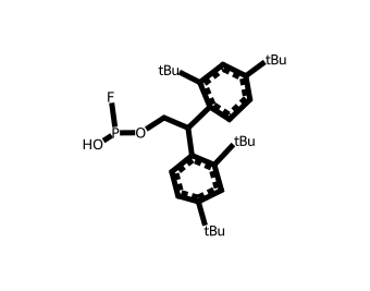 CC(C)(C)c1ccc(C(COP(O)F)c2ccc(C(C)(C)C)cc2C(C)(C)C)c(C(C)(C)C)c1